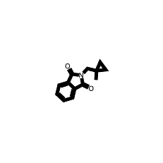 CC1(CN2C(=O)c3ccccc3C2=O)CC1